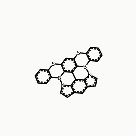 c1ccc2c(c1)Sc1cc3c4c5c1B2n1ccc2cc6ccn(c6c-5c21)B4c1ccccc1S3